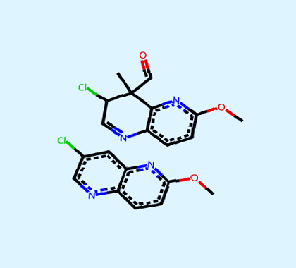 COc1ccc2c(n1)C(C)(C=O)C(Cl)C=N2.COc1ccc2ncc(Cl)cc2n1